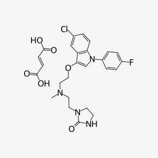 CN(CCOc1cn(-c2ccc(F)cc2)c2ccc(Cl)cc12)CCN1CCNC1=O.O=C(O)C=CC(=O)O